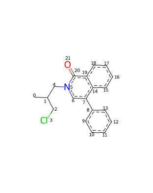 CC(CCl)Cn1cc(-c2ccccc2)c2ccccc2c1=O